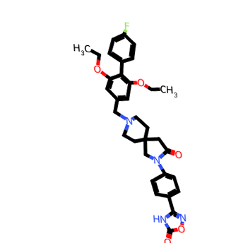 CCOc1cc(CN2CCC3(CC2)CC(=O)N(c2ccc(-c4noc(=O)[nH]4)cc2)C3)cc(OCC)c1-c1ccc(F)cc1